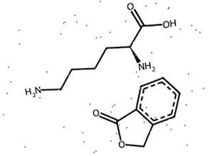 NCCCC[C@H](N)C(=O)O.O=C1OCc2ccccc21